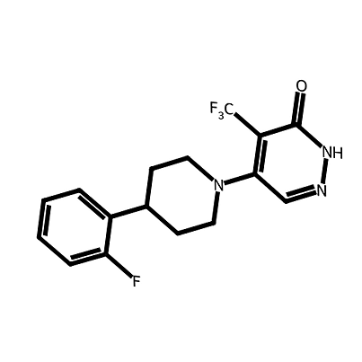 O=c1[nH]ncc(N2CCC(c3ccccc3F)CC2)c1C(F)(F)F